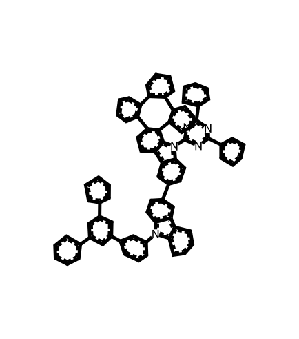 c1ccc(-c2cc(-c3ccccc3)cc(-c3cccc(-n4c5ccccc5c5cc(-c6ccc7c(c6)c6ccc8c(c6n7-c6nc(-c7ccccc7)nc(-c7ccccc7)n6)-c6ccccc6-c6ccccc6-c6ccccc6-8)ccc54)c3)c2)cc1